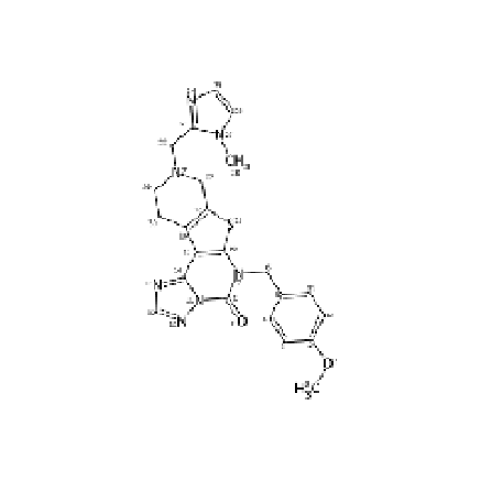 COc1ccc(Cn2c(=O)n3ncnc3c3c4c(sc32)CN(Cc2nccn2C)CC4)cc1